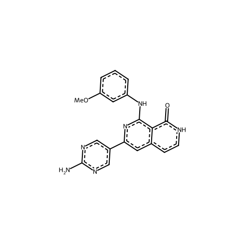 COc1cccc(Nc2nc(-c3cnc(N)nc3)cc3cc[nH]c(=O)c23)c1